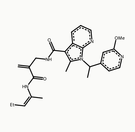 C=C(CNC(=O)c1c(C)n(C(C)c2ccnc(OC)c2)c2ncccc12)C(=O)N/C(C)=C\CC